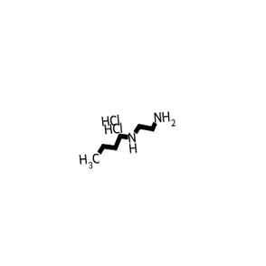 CCCCNCCN.Cl.Cl